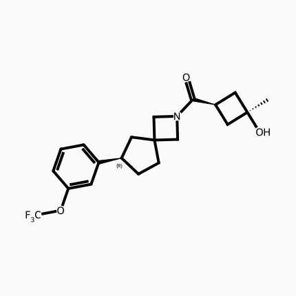 C[C@]1(O)C[C@@H](C(=O)N2CC3(CC[C@@H](c4cccc(OC(F)(F)F)c4)C3)C2)C1